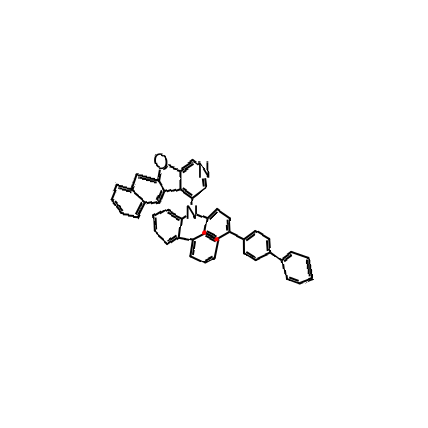 c1ccc(-c2ccc(-c3ccc(N(c4ccccc4-c4ccccc4)c4cncc5oc6cc7ccccc7cc6c45)cc3)cc2)cc1